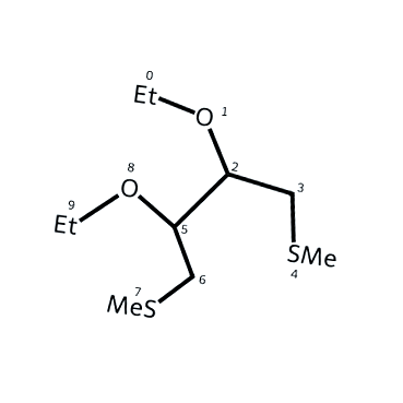 CCOC(CSC)C(CSC)OCC